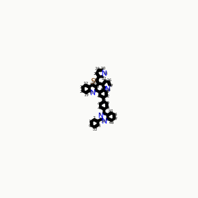 c1ccc(-c2nc(-c3ccc(-c4cccc(-c5nc6ccccc6c6sc(-c7cccnc7)c(-c7cccnc7)c56)c4)cc3)c3ccccc3n2)cc1